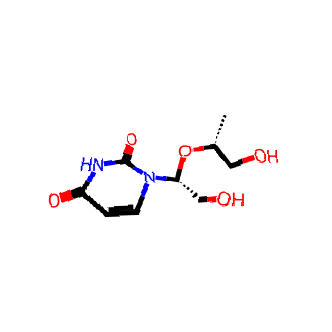 C[C@H](CO)O[C@H](CO)n1ccc(=O)[nH]c1=O